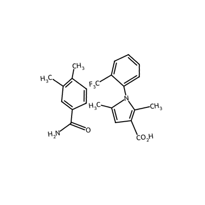 Cc1cc(C(=O)O)c(C)n1-c1ccccc1C(F)(F)F.Cc1ccc(C(N)=O)cc1C